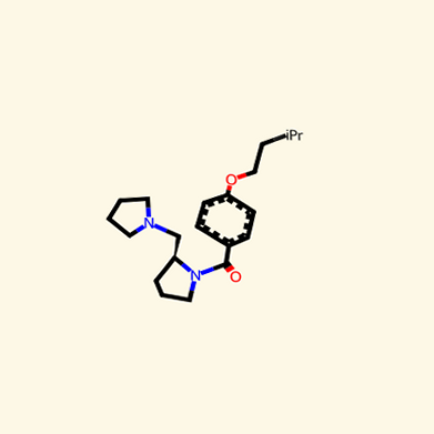 CC(C)CCOc1ccc(C(=O)N2CCC[C@H]2CN2CCCC2)cc1